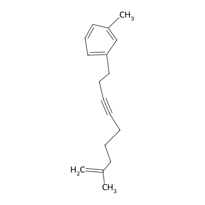 C=C(C)CCCC#CCCc1cccc(C)c1